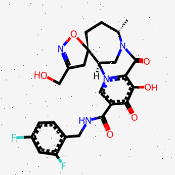 C[C@H]1CC[C@]2(CC(CO)=NO2)[C@H]2CN1C(=O)c1c(O)c(=O)c(C(=O)NCc3ccc(F)cc3F)cn12